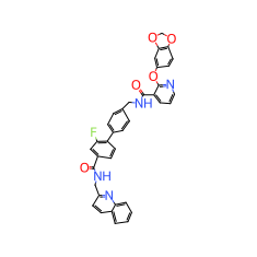 O=C(NCc1ccc2ccccc2n1)c1ccc(-c2ccc(CNC(=O)c3cccnc3Oc3ccc4c(c3)OCO4)cc2)c(F)c1